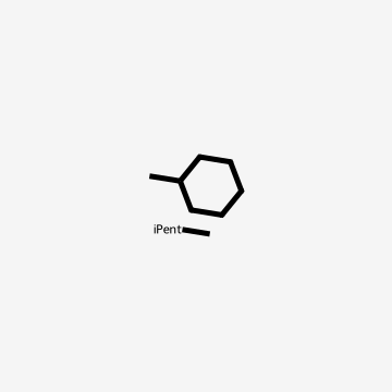 CC1CCCCC1.CCCC(C)C